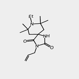 C=CCN1C(=O)NC2(CC(C)(C)N(CC)C(C)(C)C2)C1=O